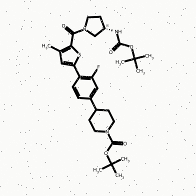 Cc1cc(-c2ccc(C3CCN(C(=O)OC(C)(C)C)CC3)cc2F)sc1C(=O)N1CC[C@H](NC(=O)OC(C)(C)C)C1